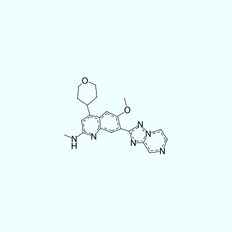 CNc1cc(C2CCOCC2)c2cc(OC)c(-c3nc4cnccn4n3)cc2n1